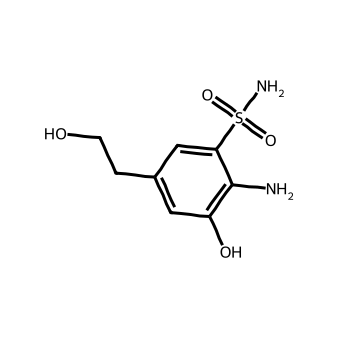 Nc1c(O)cc(CCO)cc1S(N)(=O)=O